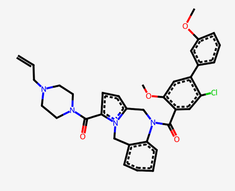 C=CCN1CCN(C(=O)c2ccc3n2Cc2ccccc2N(C(=O)c2cc(Cl)c(-c4cccc(OC)c4)cc2OC)C3)CC1